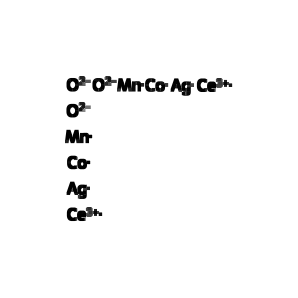 [Ag].[Ag].[Ce+3].[Ce+3].[Co].[Co].[Mn].[Mn].[O-2].[O-2].[O-2]